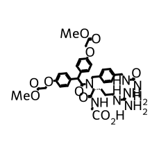 COC(=O)COc1ccc(C(C(=O)N(Cc2ccc(CNC(N)=O)cc2)[C@H](CCCNC(=N)N)C(=O)NCC(=O)O)c2ccc(OCC(=O)OC)cc2)cc1